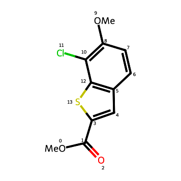 COC(=O)c1cc2ccc(OC)c(Cl)c2s1